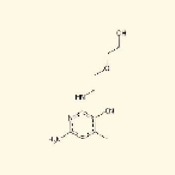 Cc1cc(N)nc(NCCOCCO)c1C#N